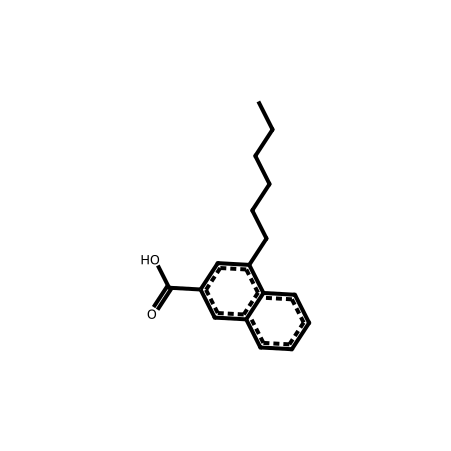 CCCCCCc1cc(C(=O)O)cc2ccccc12